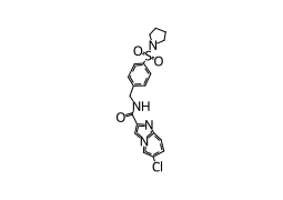 O=C(NCc1ccc(S(=O)(=O)N2CCCC2)cc1)c1cn2cc(Cl)ccc2n1